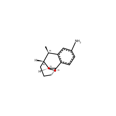 C[C@H]1c2cc(N)ccc2[C@]23CCC[C@H]1[C@@H]2CCOC3